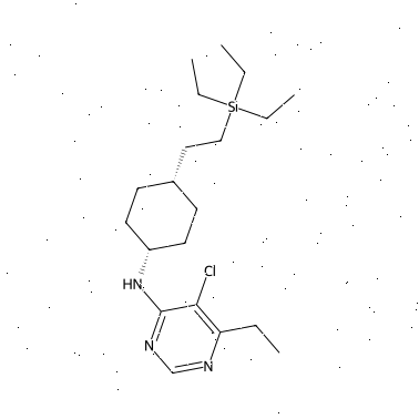 CCc1ncnc(N[C@H]2CC[C@@H](CC[Si](CC)(CC)CC)CC2)c1Cl